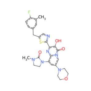 Cc1cc(Cc2cnc(-c3nc4c(N5CCN(C)C5=O)cc(N5CCOCC5)cn4c(=O)c3O)s2)ccc1F